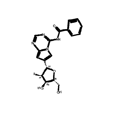 O=C(Nc1ncnc2cc([C@@H]3O[C@H](CO)[C@@H](O)[C@H]3F)cn12)c1ccccc1